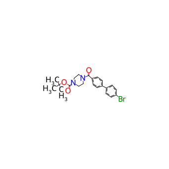 CC(C)(C)OC(=O)N1CCN(C(=O)c2ccc(-c3ccc(Br)cc3)cc2)CC1